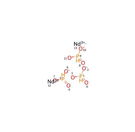 O=[PH]([O-])[O-].O=[PH]([O-])[O-].O=[PH]([O-])[O-].[Nd+3].[Nd+3]